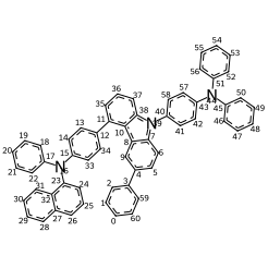 c1ccc(-c2ccc3c(c2)c2c(-c4ccc(N(c5ccccc5)c5cccc6ccccc56)cc4)cccc2n3-c2ccc(N(c3ccccc3)c3ccccc3)cc2)cc1